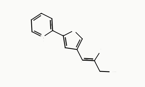 OC/C(F)=C/c1csc(-c2ccccn2)c1